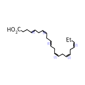 CC/C=C\C/C=C\C/C=C\C/C=C/C/C=C\C/C=C/CCC(=O)O